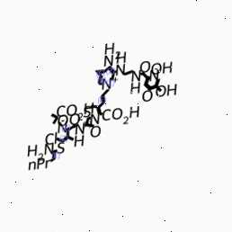 CCC/C=C(\N)S/C(Cl)=C(C)/C(=N/OC(C)(C)C(=O)O)C(=O)N[C@@H]1C(=O)N2C(C(=O)O)=C(/C=C/C[N+]3=C/C(NCCNC(=O)c4cc(=O)c(O)cn4O)=C(N)\C=C\C=C\3)CSC12